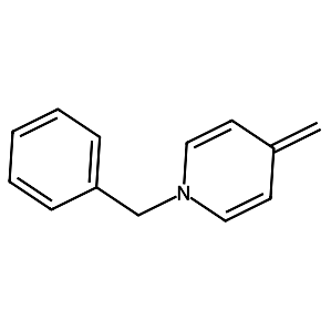 C=C1C=CN(Cc2ccccc2)C=C1